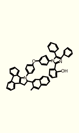 Cc1cc2ccccc2cc1C1Cc2c(c3ccccc3c3ccccc23)N1c1ccc(Oc2ccc(-n3c(-c4ccccc4O)nc(-c4ccccc4)c3-c3ccccc3)cc2)cc1